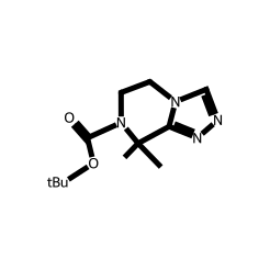 CC(C)(C)OC(=O)N1CCn2cnnc2C1(C)C